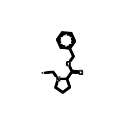 [CH2]CN1CCCC1C(=O)OCc1ccccc1